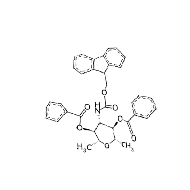 C[C@@H]1O[C@H](C)[C@@H](OC(=O)c2ccccc2)[C@H](NC(=O)OCC2c3ccccc3-c3ccccc32)[C@H]1OC(=O)c1ccccc1